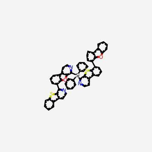 c1ccc([Si](c2ccccc2)(c2nccc3c2oc2c(-c4nccc5c4sc4ccccc45)cccc23)c2nccc3c2sc2c(-c4cccc5c4oc4ccccc45)cccc23)cc1